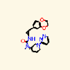 CN(C(=O)NC1CC1c1ccc2c(c1)OCCO2)[C@@H]1CCCN(c2cccnn2)C1